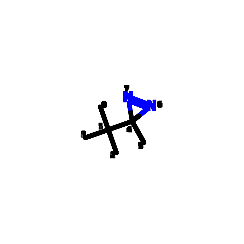 CC(C)(C)C1(C)N=N1